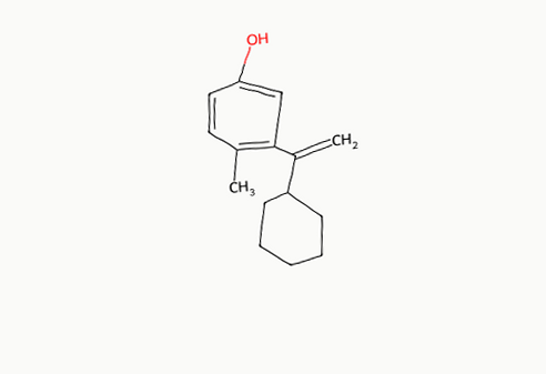 C=C(c1cc(O)ccc1C)C1CCCCC1